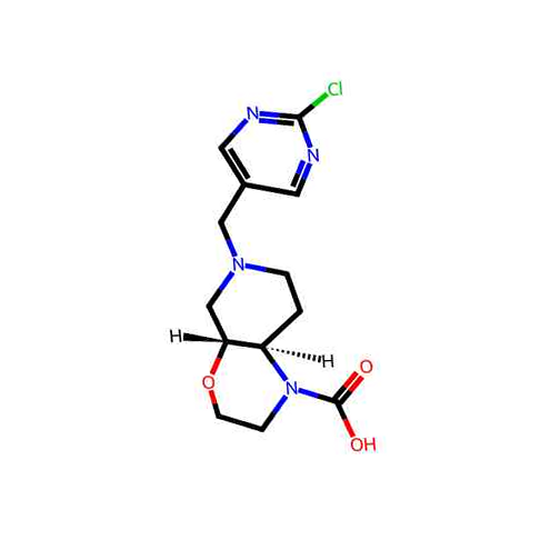 O=C(O)N1CCO[C@@H]2CN(Cc3cnc(Cl)nc3)CC[C@H]21